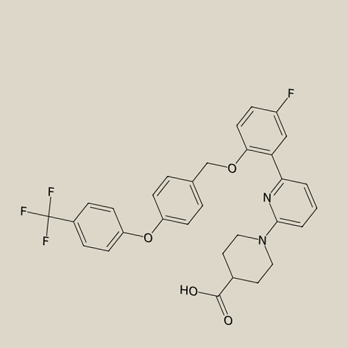 O=C(O)C1CCN(c2cccc(-c3cc(F)ccc3OCc3ccc(Oc4ccc(C(F)(F)F)cc4)cc3)n2)CC1